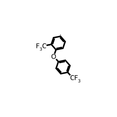 FC(F)(F)c1ccc(Oc2cc[c]cc2C(F)(F)F)cc1